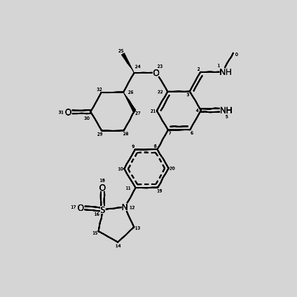 CN/C=C1\C(=N)C=C(c2ccc(N3CCCS3(=O)=O)cc2)C=C1O[C@H](C)[C@H]1CCCC(=O)C1